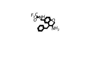 NC1COc2ccc(CNC(=O)C(F)(F)F)cc2C1Cc1ccccc1